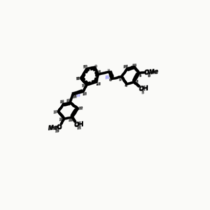 COC1=C(O)CC(/C=C/c2cccc(/C=C/C3=CCC(OC)C(O)=C3)c2)C=C1